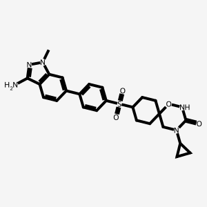 Cn1nc(N)c2ccc(-c3ccc(S(=O)(=O)C4CCC5(CC4)CN(C4CC4)C(=O)NO5)cc3)cc21